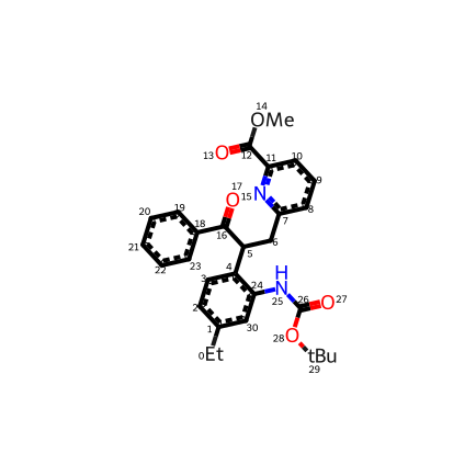 CCc1ccc(C(Cc2cccc(C(=O)OC)n2)C(=O)c2ccccc2)c(NC(=O)OC(C)(C)C)c1